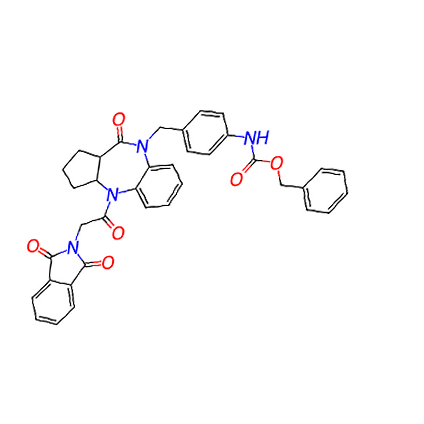 O=C(Nc1ccc(CN2C(=O)C3CCCC3N(C(=O)CN3C(=O)c4ccccc4C3=O)c3ccccc32)cc1)OCc1ccccc1